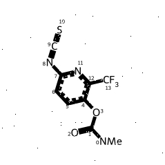 CNC(=O)Oc1ccc(N=C=S)nc1C(F)(F)F